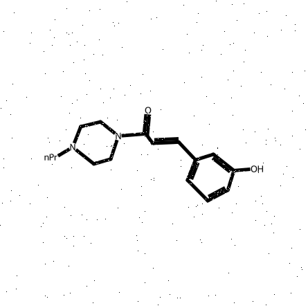 CCCN1CCN(C(=O)C=Cc2cccc(O)c2)CC1